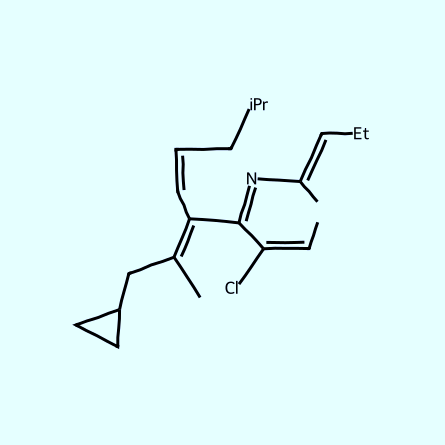 C\C=C(Cl)/C(=N\C(C)=C\CC)C(/C=C\CC(C)C)=C(\C)CC1CC1